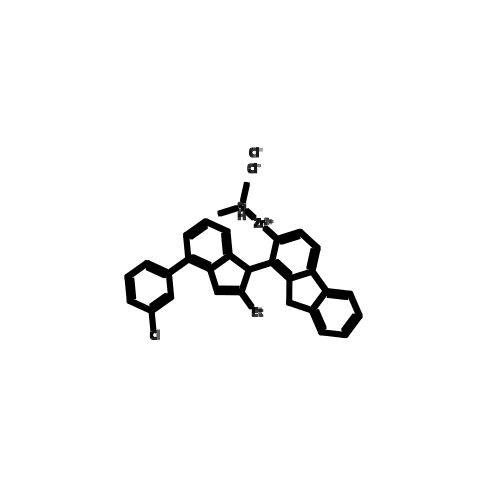 CCC1=Cc2c(-c3cccc(Cl)c3)cccc2C1c1[c]([Zr+2][SiH](C)C)ccc2c1Cc1ccccc1-2.[Cl-].[Cl-]